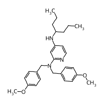 CCCC(CCC)Nc1ccnc(N(Cc2ccc(OC)cc2)Cc2ccc(OC)cc2)c1